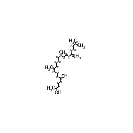 C/C(O)=C\CCC(C)CCCC(C)CCCCC(C)CCCC(C)CCCC(C)C